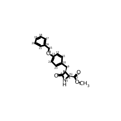 COC(=O)[C@H]1NC(=O)[C@H]1Cc1ccc(OCc2ccccc2)cc1